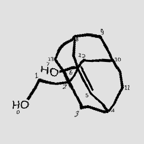 OCC12CC3C=C(O)C(CC(C3)C1)C2